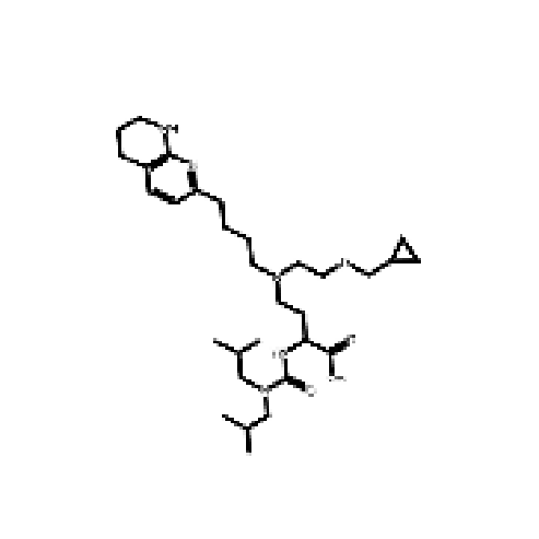 CC(C)CN(CC(C)C)C(=O)NC(CCN(CCCCc1ccc2c(n1)NCCC2)CCOCC1CC1)C(=O)O